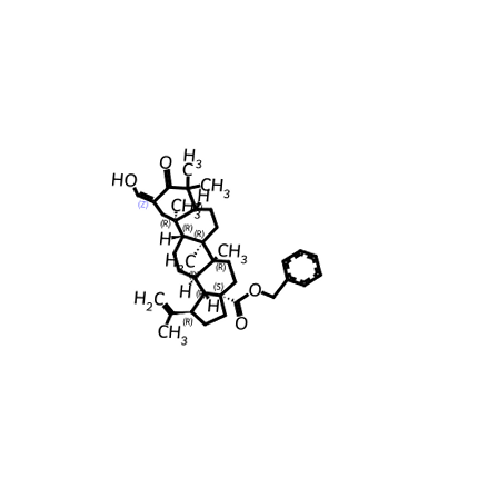 C=C(C)[C@@H]1CC[C@]2(C(=O)OCc3ccccc3)CC[C@]3(C)[C@H](CC[C@@H]4[C@@]5(C)C/C(=C/O)C(=O)C(C)(C)[C@@H]5CC[C@]43C)[C@@H]12